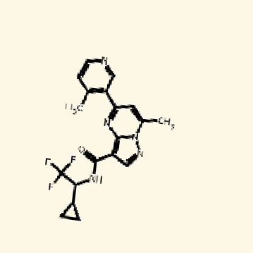 Cc1ccncc1-c1cc(C)n2ncc(C(=O)NC(C3CC3)C(F)(F)F)c2n1